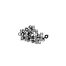 CC(C)C(=O)Nc1nc2c(ncn2[C@@H]2C[C@H](CO)[C@@H](O[Si](C)(C)C(C)(C)C)[C@H]2OP(=O)(OCCC#N)OC[C@H]2C[C@@H](n3cnc4c(NC(=O)c5ccccc5)ncnc43)[C@H](O[Si](C)(C)C(C)(C)C)[C@@H]2O[PH](=O)O)c(=O)[nH]1